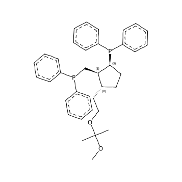 COC(C)(C)OCC[C@H]1CC[C@H](P(c2ccccc2)c2ccccc2)[C@@H]1CP(c1ccccc1)c1ccccc1